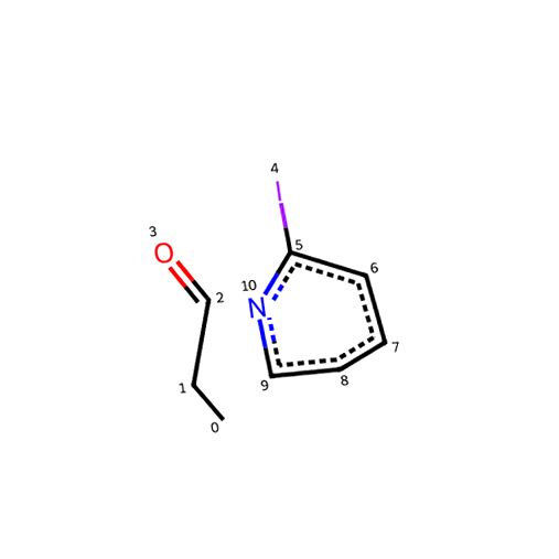 CCC=O.Ic1ccccn1